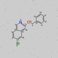 Brc1ccc2cnc(OCc3ccccc3)cc2c1